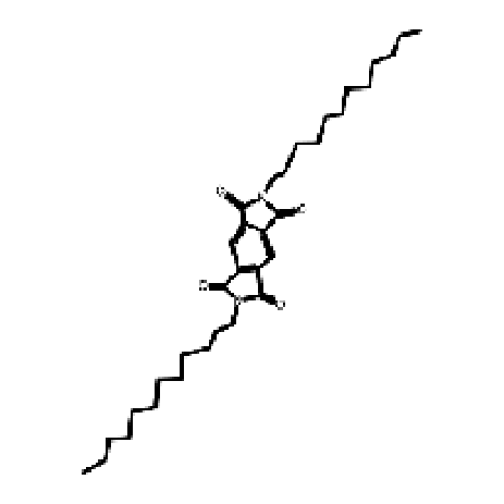 CCCCCCCCCCCCn1c(=O)c2cc3c(=O)n(CCCCCCCCCCCC)c(=O)c3cc2c1=O